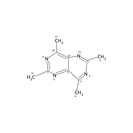 Cc1nc(C)c2nc(C)nc(C)c2n1